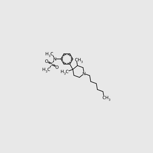 CCCCCCN1CCC(C)(c2cccc(N(C)S(C)(=O)=O)c2)C(C)C1